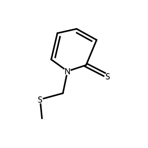 CSCn1ccccc1=S